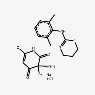 CCCC(C)C1(CC)C(=O)N=C([O-])NC1=O.Cc1cccc(C)c1NC1=NCCCS1.Cl.[Na+]